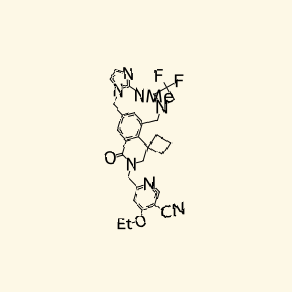 CCOc1cc(CN2CC3(CCC3)c3c(CN4CC(F)(F)C4)cc(Cn4ccnc4NC)cc3C2=O)ncc1C#N